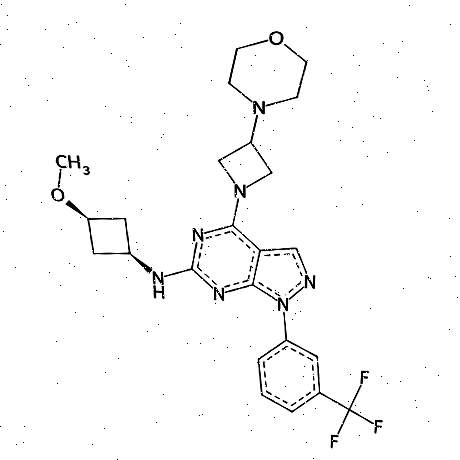 CO[C@H]1C[C@@H](Nc2nc(N3CC(N4CCOCC4)C3)c3cnn(-c4cccc(C(F)(F)F)c4)c3n2)C1